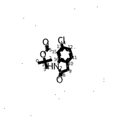 CC(C)(C)OC=O.O=C1Cc2ccc(Cl)cc2N1